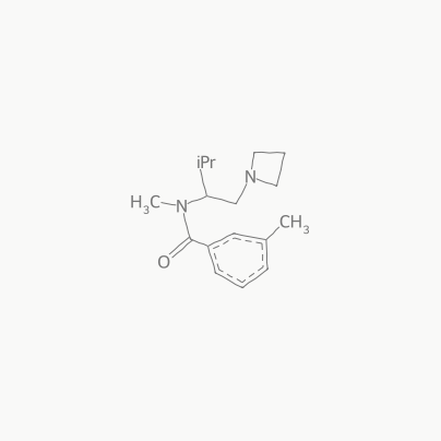 Cc1cccc(C(=O)N(C)C(CN2CCC2)C(C)C)c1